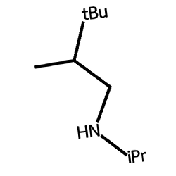 CC(C)NCC(C)C(C)(C)C